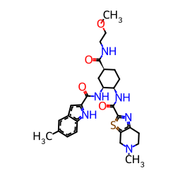 COCCNC(=O)[C@H]1CC[C@@H](NC(=O)c2nc3c(s2)CN(C)CC3)[C@@H](NC(=O)c2cc3cc(C)ccc3[nH]2)C1